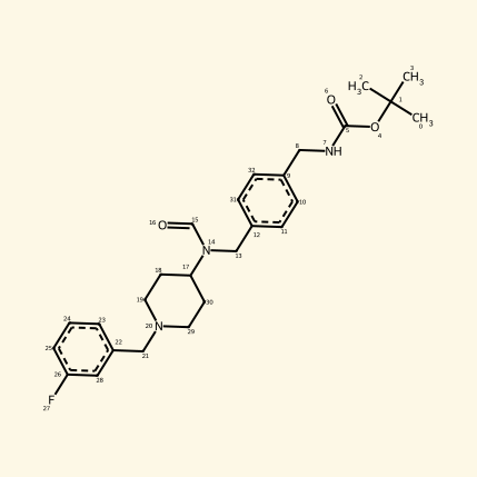 CC(C)(C)OC(=O)NCc1ccc(CN(C=O)C2CCN(Cc3cccc(F)c3)CC2)cc1